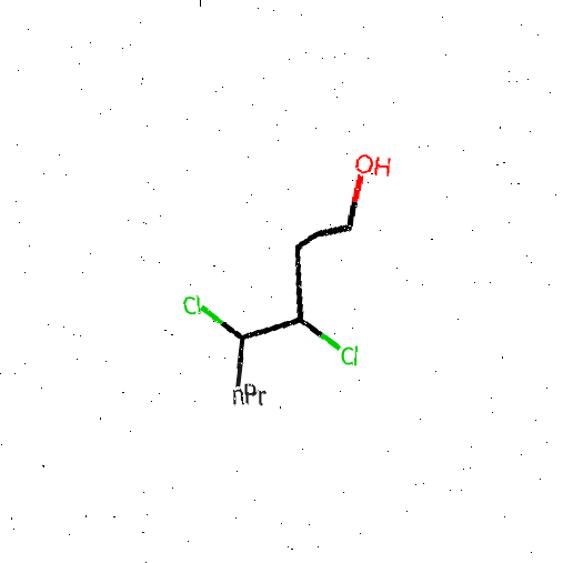 CCCC(Cl)C(Cl)CCO